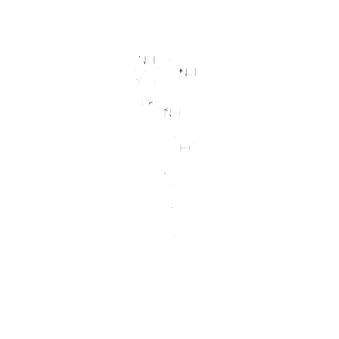 CCCCCCCCCCCCCCNC(=O)C1CNCC1C(N)=O.Cl